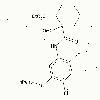 CCCCCOc1cc(NC(=O)C2(C=O)CCCCC2C(=O)OCC)c(F)cc1Cl